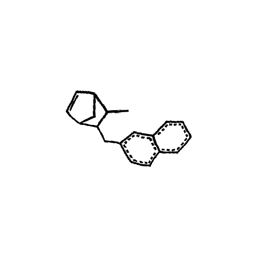 CC1C2C=CC(C2)C1Cc1ccc2ccccc2c1